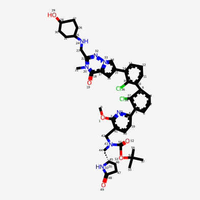 COc1nc(-c2cccc(-c3cccc(-c4cc5c(=O)n(C)c(CNC6CCC(O)CC6)nn5c4)c3Cl)c2Cl)ccc1CN(C[C@@H]1CCC(=O)N1)C(=O)OC(C)(C)C